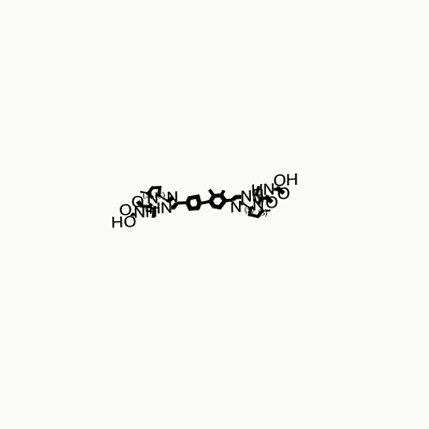 CC[C@@H](C(=O)NC(=O)O)N1[C@@H](C)CC[C@H]1c1nc(-c2ccc(-c3ccc(-c4c[nH]c([C@@H]5CC[C@H](C)N5[C@@H](CC)C(=O)NC(=O)O)n4)c(C)c3C)cc2)c[nH]1